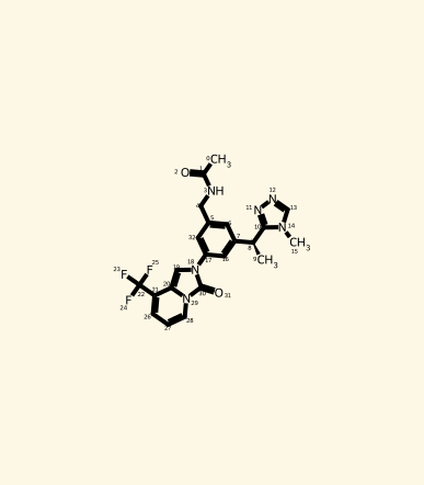 CC(=O)NCc1cc([C@H](C)c2nncn2C)cc(-n2cc3c(C(F)(F)F)cccn3c2=O)c1